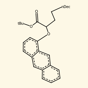 CCCCCCCCCCCCC(Oc1cccc2cc3ccccc3cc12)C(=O)OC(C)(C)C